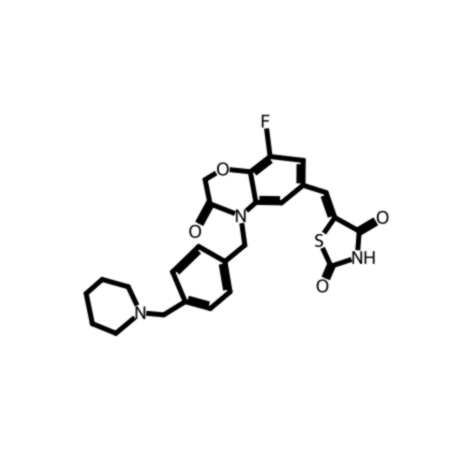 O=C1NC(=O)C(=Cc2cc(F)c3c(c2)N(Cc2ccc(CN4CCCCC4)cc2)C(=O)CO3)S1